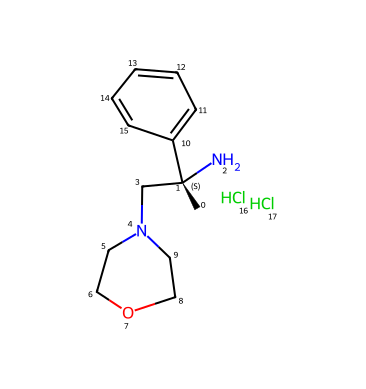 C[C@@](N)(CN1CCOCC1)c1ccccc1.Cl.Cl